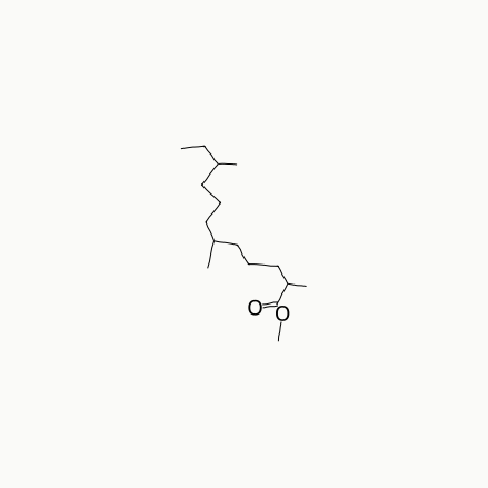 CCC(C)CCCC(C)CCCC(C)C(=O)OC